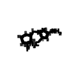 Cc1cc(N)nn1Cc1cccc(F)c1